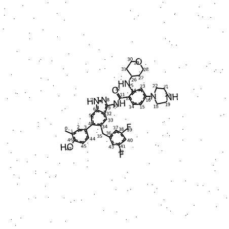 Cc1cc(-c2cc3[nH]nc(NC(=O)c4ccc(N5CCNCC5)cc4NC4CCOCC4)c3cc2Cc2cc(F)cc(F)c2)ccc1O